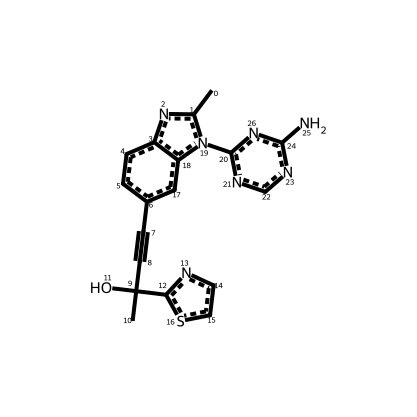 Cc1nc2ccc(C#CC(C)(O)c3nccs3)cc2n1-c1ncnc(N)n1